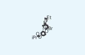 CCN(C)/C=N/c1cc(Br)c(OC2CCC(OC(=O)C(C)C)CC2)nc1C